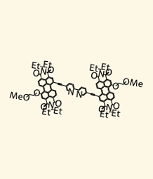 CCC(CC)N1C(=O)c2ccc3c4c(OCCOC)cc5c6c(ccc(c7c(C#Cc8ccc(-c9ccc(C#Cc%10cc%11c%12c(ccc%13c%14c(OCCOC)cc%15c%16c(ccc(c%10c%12%13)c%16%14)C(=O)N(C(CC)CC)C%15=O)C(=O)N(C(CC)CC)C%11=O)cn9)nc8)cc(c2c37)C1=O)c64)C(=O)N(C(CC)CC)C5=O